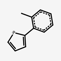 Cc1ccccc1C1=CC=C[P]1